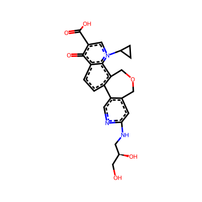 O=C(O)c1cn(C2CC2)c2c3c(ccc2c1=O)-c1cnc(NC[C@@H](O)CO)cc1COC3